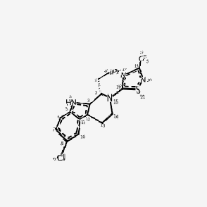 CC(C)C[C@H]1c2[nH]c3ccc(Cl)cc3c2CCN1c1nc(C(F)(F)F)ns1